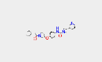 O=C(CC1CCCC1)N1CCC(Oc2ccc(NC(=O)N3CC(c4cccnc4)C3)cc2)C1